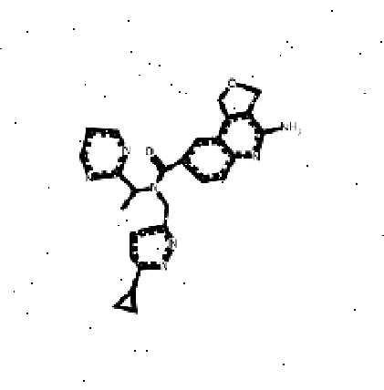 CC(c1ncccn1)N(Cc1ccc(C2CC2)nn1)C(=O)c1ccc2nc(N)c3c(c2c1)COC3